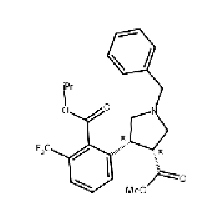 COC(=O)[C@H]1CN(Cc2ccccc2)C[C@H]1c1cccc(C(F)(F)F)c1C(=O)OC(C)C